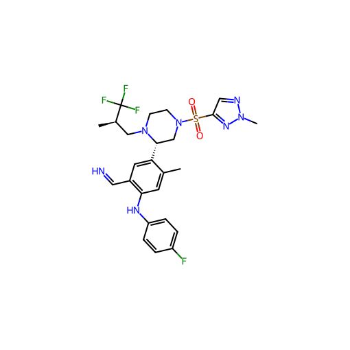 Cc1cc(Nc2ccc(F)cc2)c(C=N)cc1[C@H]1CN(S(=O)(=O)c2cnn(C)n2)CCN1C[C@@H](C)C(F)(F)F